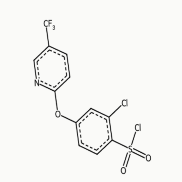 O=S(=O)(Cl)c1ccc(Oc2ccc(C(F)(F)F)cn2)cc1Cl